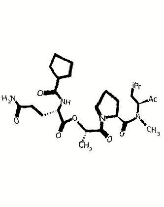 CC(=O)[C@H](CC(C)C)N(C)C(=O)[C@@H]1CCCN1C(=O)[C@H](C)OC(=O)[C@H](CCC(N)=O)NC(=O)C1CCCC1